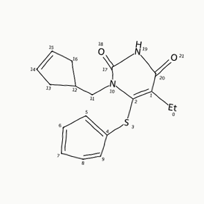 CCc1c(Sc2ccccc2)n(CC2CC=CC2)c(=O)[nH]c1=O